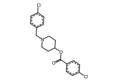 O=C(OC1CCN(Cc2ccc(Cl)cc2)CC1)c1ccc(Cl)cc1